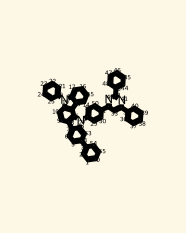 c1ccc(-c2ccc3c4ccc5c(c6ccccc6n5-c5ccccc5)c4n(-c4ccc(-c5cc(-c6ccccc6)nc(-c6ccccc6)n5)cc4)c3c2)cc1